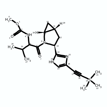 COC(=O)NC(C(=O)N1[C@@H]2C[C@@H]2C[C@H]1c1nc(C#CS(C)(C)C)c[nH]1)C(C)C